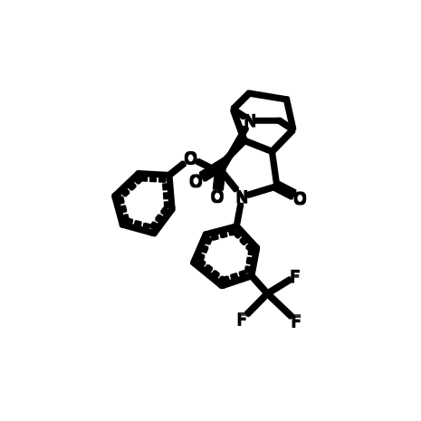 O=C1C2C3CCC(C2C(=O)N1c1cccc(C(F)(F)F)c1)N(C(=O)Oc1ccccc1)C3